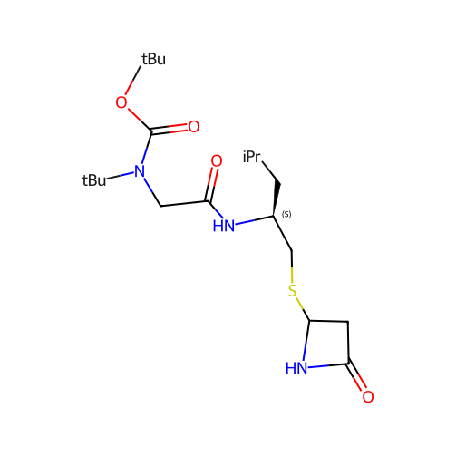 CC(C)C[C@@H](CSC1CC(=O)N1)NC(=O)CN(C(=O)OC(C)(C)C)C(C)(C)C